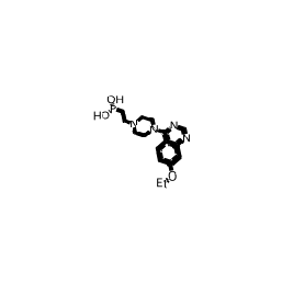 CCOc1ccc2c(N3CCN(CCP(O)O)CC3)ncnc2c1